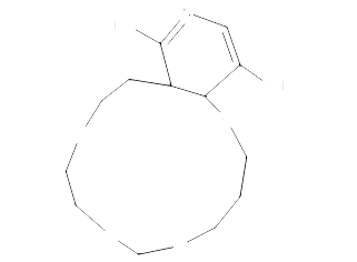 CC1=CN=C(C)C2CCCCCCCCCCCCC12